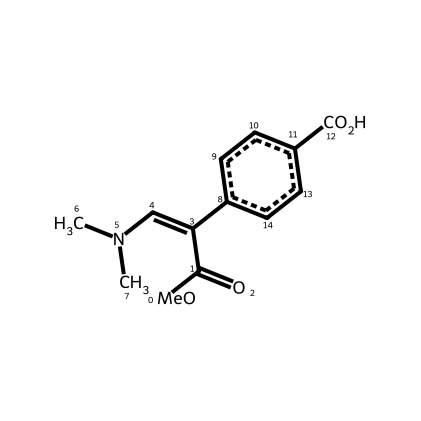 COC(=O)C(=CN(C)C)c1ccc(C(=O)O)cc1